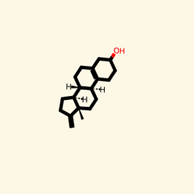 C=C1CC[C@H]2[C@@H]3CCC4=C(CCC(O)C4)[C@H]3CC[C@]12C